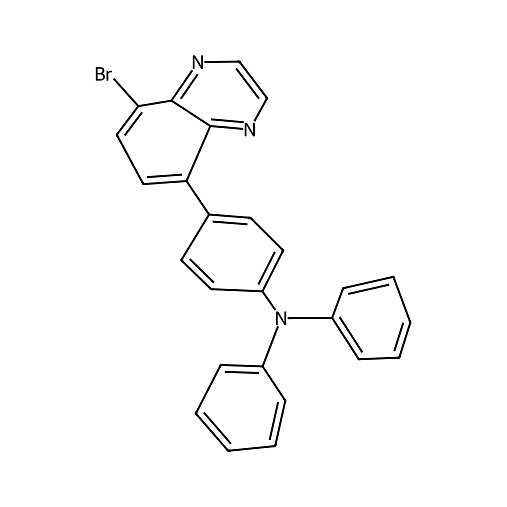 Brc1ccc(-c2ccc(N(c3ccccc3)c3ccccc3)cc2)c2nccnc12